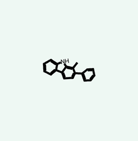 Cc1c(-c2ccccc2)ccc2c1[nH]c1ccccc12